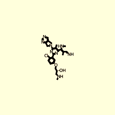 CNC[C@@H](O)COc1ccc(Cl)c(-c2nc(/C(NC)=C(\C)C=N)c(C)c(N3Cc4cncnc4C3)n2)c1